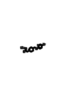 CC(C)(C)OC(=O)CN1CCC(COc2ccc(Br)cn2)CC1